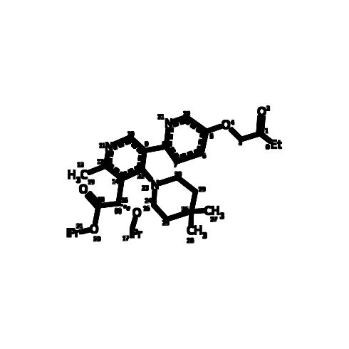 CCC(=O)COc1ccc(-c2cnc(C)c([C@H](OC(C)C)C(=O)OC(C)C)c2N2CCC(C)(C)CC2)nc1